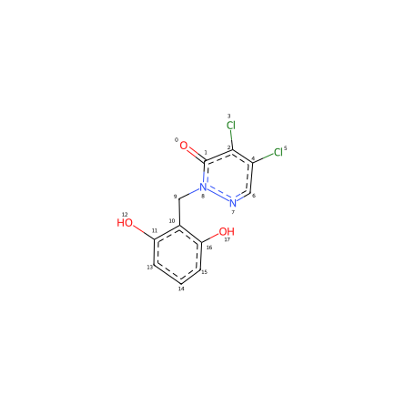 O=c1c(Cl)c(Cl)cnn1Cc1c(O)cccc1O